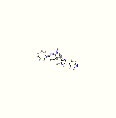 Cn1cc(C2CCNCC2)nc1-c1nn(C)c2nc(N3CCCCCC3)ccc12